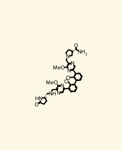 COc1nc(-c2cccc(-c3cccc(-c4cnc(CN5CC[C@H](C(N)=O)C5)c(OC)n4)c3Cl)c2Cl)cnc1CNC[C@@H]1CCC(=O)N1